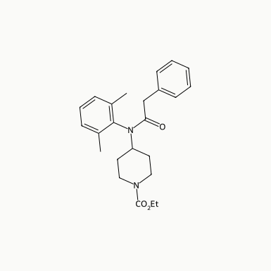 CCOC(=O)N1CCC(N(C(=O)Cc2ccccc2)c2c(C)cccc2C)CC1